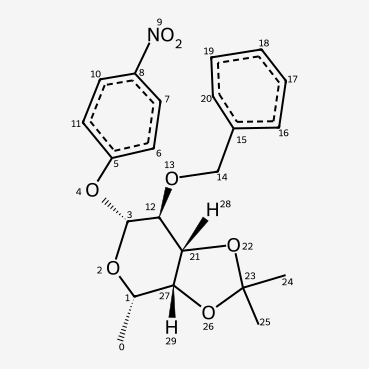 C[C@@H]1O[C@H](Oc2ccc([N+](=O)[O-])cc2)[C@@H](OCc2ccccc2)[C@@H]2OC(C)(C)O[C@@H]21